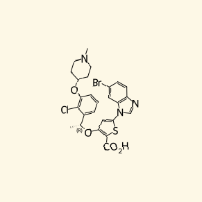 C[C@@H](Oc1cc(-n2cnc3ccc(Br)cc32)sc1C(=O)O)c1cccc(OC2CCN(C)CC2)c1Cl